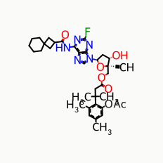 C#C[C@]1(COC(=O)CC(C)(C)c2c(C)cc(C)cc2OC(C)=O)O[C@@H](n2cnc3c(NC(=O)C4CC5(CCCCC5)C4)nc(F)nc32)C[C@@H]1O